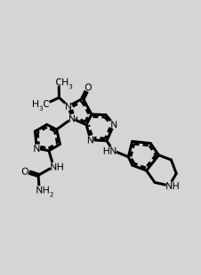 CC(C)n1c(=O)c2cnc(Nc3ccc4c(c3)CNCC4)nc2n1-c1ccnc(NC(N)=O)c1